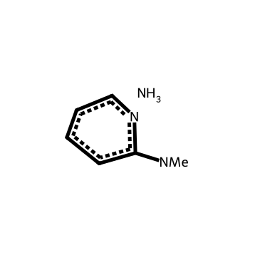 CNc1ccccn1.N